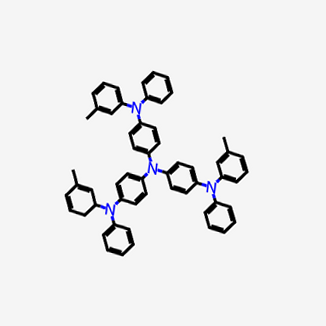 CC1=CC(N(c2ccccc2)c2ccc(N(c3ccc(N(c4ccccc4)c4cccc(C)c4)cc3)c3ccc(N(c4ccccc4)c4cccc(C)c4)cc3)cc2)CC=C1